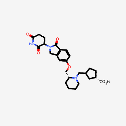 O=C1CCC(N2Cc3cc(OC[C@H]4CCCCN4CC4CC[C@H](C(=O)O)C4)ccc3C2=O)C(=O)N1